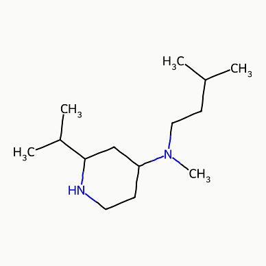 CC(C)CCN(C)C1CCNC(C(C)C)C1